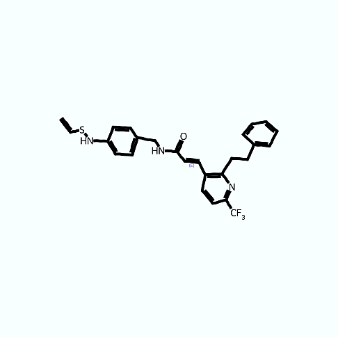 C=CSNc1ccc(CNC(=O)/C=C/c2ccc(C(F)(F)F)nc2CCc2ccccc2)cc1